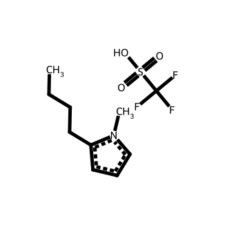 CCCCc1cccn1C.O=S(=O)(O)C(F)(F)F